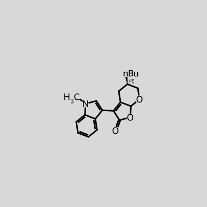 CCCC[C@H]1COC2OC(=O)C(c3cn(C)c4ccccc34)=C2C1